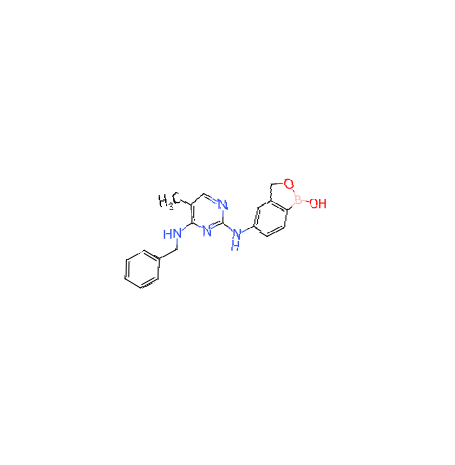 Cc1cnc(Nc2ccc3c(c2)COB3O)nc1NCc1ccccc1